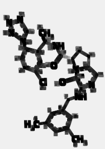 Cc1cc(C)cc(CNc2ncc3n(c2=O)[C@H](C(=O)N[C@H](C)c2cc(Cl)ccc2-n2cnnn2)CC3)c1